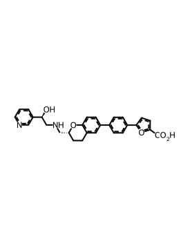 O=C(O)c1ccc(-c2ccc(-c3ccc4c(c3)CC[C@H](CNC[C@H](O)c3cccnc3)O4)cc2)o1